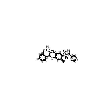 CCC(Oc1cc(F)c(S(=O)(=O)Nc2cscn2)cc1Cl)c1ccccc1F